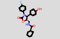 O=C(NC[C@H]1OC(=O)N(c2ccc(F)cc2)C1c1ccc(O)cc1)c1ccccc1